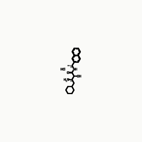 C[C@@H](NC(=O)C(O)[C@H](N)CC1CCCCC1)c1ccc2ccccc2c1.Cl